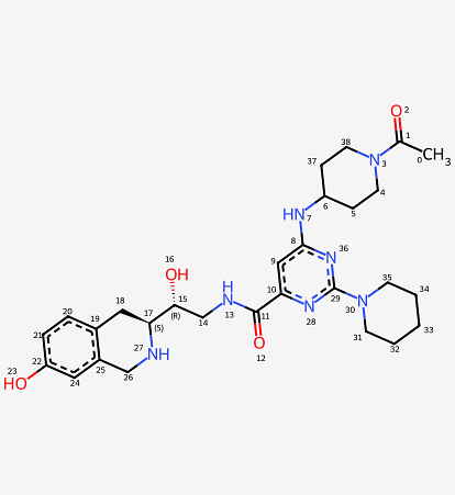 CC(=O)N1CCC(Nc2cc(C(=O)NC[C@@H](O)[C@@H]3Cc4ccc(O)cc4CN3)nc(N3CCCCC3)n2)CC1